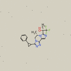 C[C@H]1Cn2c(nnc2C2CC2c2ccccc2)-c2cnc([C@@](C)(O)C(F)(F)F)n21